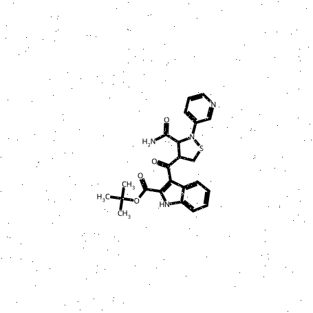 CC(C)(C)OC(=O)c1[nH]c2ccccc2c1C(=O)C1CSN(c2cccnc2)C1C(N)=O